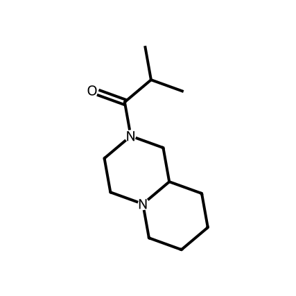 CC(C)C(=O)N1CCN2CCCCC2C1